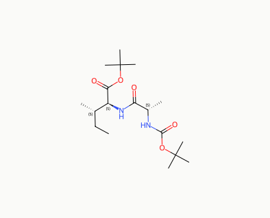 CC[C@H](C)[C@H](NC(=O)[C@H](C)NC(=O)OC(C)(C)C)C(=O)OC(C)(C)C